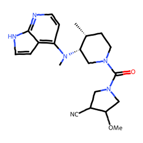 COC1CN(C(=O)N2CC[C@@H](C)[C@@H](N(C)c3ccnc4[nH]ccc34)C2)CC1C#N